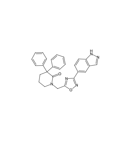 O=C1N(Cc2nc(-c3ccc4[nH]ncc4c3)no2)CCCC1(c1ccccc1)c1ccccc1